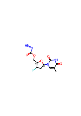 Cc1cn([C@H]2CC(F)[C@@H](COC(=O)N=N)O2)c(=O)[nH]c1=O